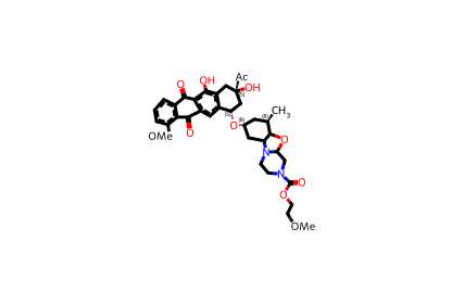 COCCOC(=O)N1CCN2C(C1)OC1C2C[C@H](O[C@H]2C[C@](O)(C(C)=O)Cc3c2cc2c(c3O)C(=O)c3cccc(OC)c3C2=O)C[C@H]1C